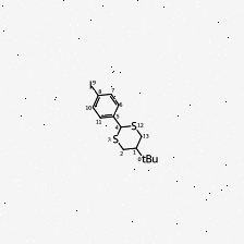 CC(C)(C)C1CSC(c2ccc(I)cc2)SC1